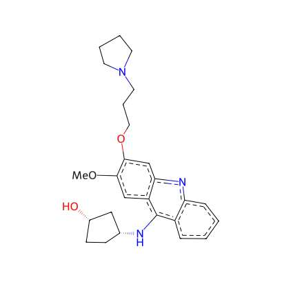 COc1cc2c(N[C@@H]3CC[C@H](O)C3)c3ccccc3nc2cc1OCCCN1CCCC1